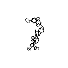 O=S(=O)(NCC1CCN(CC2COc3ccc(Cl)cc3O2)CC1)c1ccc(Br)c(Br)c1